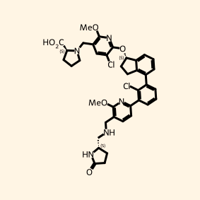 COc1nc(-c2cccc(-c3cccc4c3CC[C@@H]4Oc3nc(OC)c(CN4CCC[C@H]4C(=O)O)cc3Cl)c2Cl)ccc1CNC[C@@H]1CCC(=O)N1